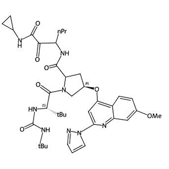 CCCC(NC(=O)C1C[C@@H](Oc2cc(-n3cccn3)nc3cc(OC)ccc23)CN1C(=O)[C@@H](NC(=O)NC(C)(C)C)C(C)(C)C)C(=O)C(=O)NC1CC1